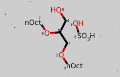 CCCCCCCCOCC(CO)OCCCCCCCC.O=S(=O)(O)O